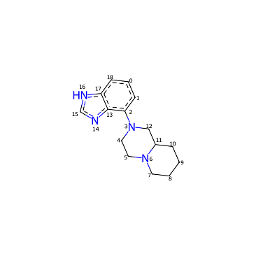 c1cc(N2CCN3CCCCC3C2)c2nc[nH]c2c1